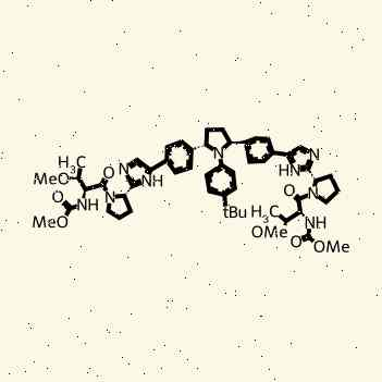 COC(=O)N[C@H](C(=O)N1CCC[C@H]1c1ncc(-c2ccc([C@@H]3CC[C@@H](c4ccc(-c5cnc([C@@H]6CCCN6C(=O)[C@H](NC(=O)OC)[C@H](C)OC)[nH]5)cc4)N3c3ccc(C(C)(C)C)cc3)cc2)[nH]1)[C@H](C)OC